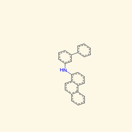 c1ccc(-c2cccc(Nc3cccc4c3ccc3ccccc34)c2)cc1